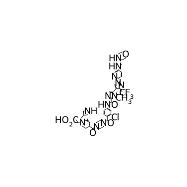 Cn1c(-c2cn(-c3ccc(NC[C@H]4COCCN4)cn3)nc2C(F)(F)F)cnc1C(=O)Nc1ccc(C(=O)N2CCN(C(=O)C3CC[N+](CC(=O)O)(CC4CNC4)CC3)CC2)c(Cl)c1